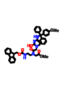 COC(=O)CN(CCNC(=O)OCC1c2ccccc2-c2ccccc21)C(=O)CN1CC=C(NC(c2ccccc2)(c2ccccc2)c2ccc(OC)cc2)N=C1O